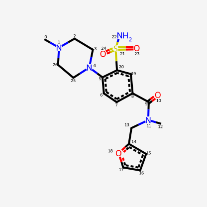 CN1CCN(c2ccc(C(=O)N(C)Cc3ccco3)cc2S(N)(=O)=O)CC1